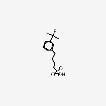 O=S(=O)(O)CCCCc1cccc(C(F)(F)F)c1